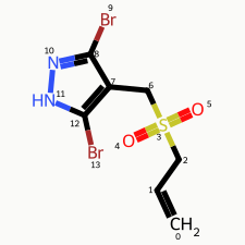 C=CCS(=O)(=O)Cc1c(Br)n[nH]c1Br